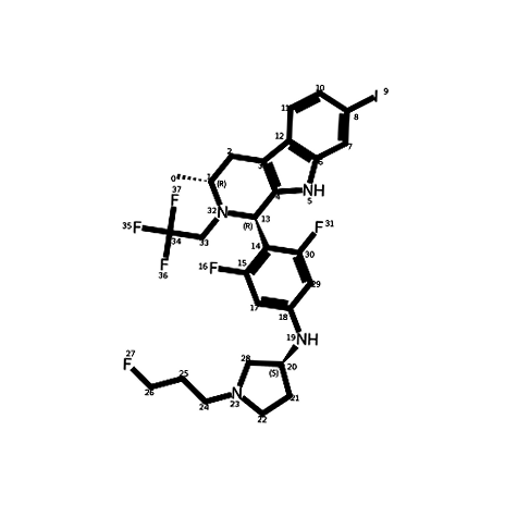 C[C@@H]1Cc2c([nH]c3cc(I)ccc23)[C@@H](c2c(F)cc(N[C@H]3CCN(CCCF)C3)cc2F)N1CC(F)(F)F